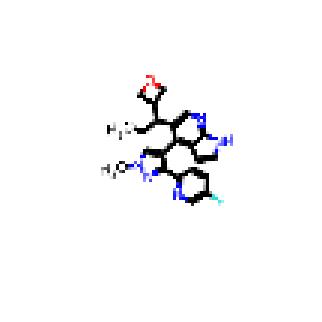 CCC(c1cnc2[nH]ccc2c1-c1cn(C)nc1-c1ccc(F)cn1)C1COC1